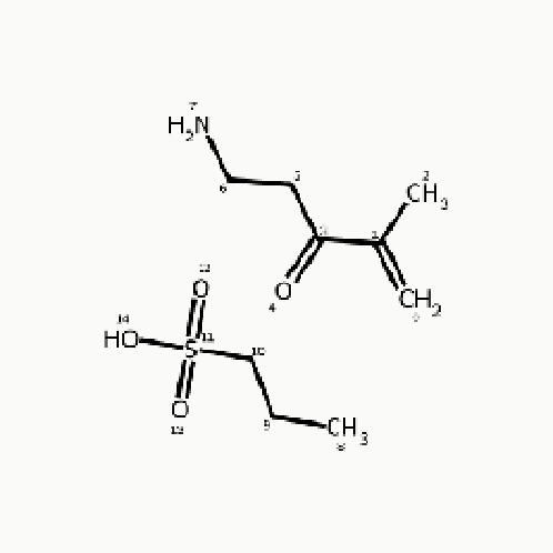 C=C(C)C(=O)CCN.CCCS(=O)(=O)O